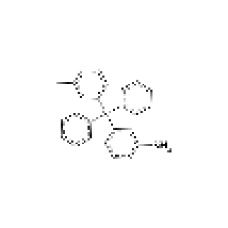 Cc1cccc([Si](c2ccccc2)(c2ccccc2)c2cccc([SiH3])c2)c1